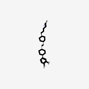 F/C=C/CCC[C@H]1CC[C@H](CC[C@H]2CC[C@H](c3ccc(F)c(F)c3)CC2)CC1